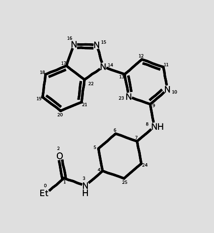 CCC(=O)NC1CCC(Nc2nccc(-n3nnc4ccccc43)n2)CC1